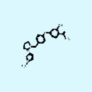 Cn1ccc([C@@H]2CCCN2Cc2ccc(Oc3ccc(C(N)=O)c(O)c3)cc2)n1